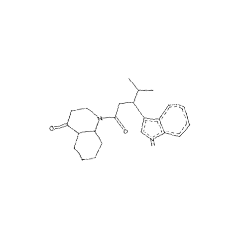 CC(C)C(CC(=O)N1CCC(=O)C2CCCCC21)c1c[nH]c2ccccc12